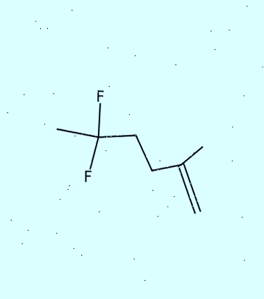 C=C(C)CCC(C)(F)F